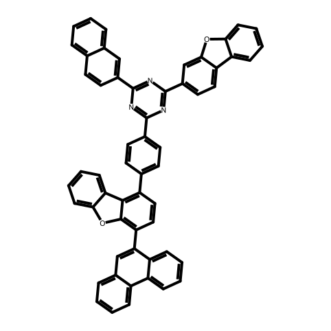 c1ccc2cc(-c3nc(-c4ccc(-c5ccc(-c6cc7ccccc7c7ccccc67)c6oc7ccccc7c56)cc4)nc(-c4ccc5c(c4)oc4ccccc45)n3)ccc2c1